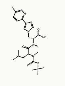 CC(C)C[C@@H](C(=O)N(C)[C@H](Cn1cc(-c2ccc(F)cn2)nn1)C(=O)O)N(C)C(=O)OC(C)(C)C